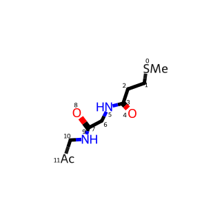 CSCCC(=O)NCC(=O)NCC(C)=O